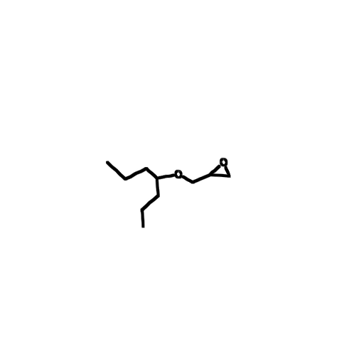 CCCC(CCC)OCC1CO1